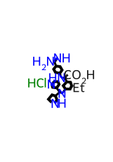 CCc1cc(NC(c2cccnc2)c2cccnc2)cc(C(Nc2ccc(C(=N)N)cc2)C(=O)O)c1.Cl